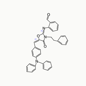 O=Cc1ccccc1/N=C1/O/C(=C/c2ccc(N(c3ccccc3)c3ccccc3)cc2)C(=O)N1CCc1ccccc1